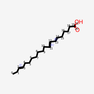 CC/C=C/CCCCCCC/C=C/C=C/CCCCC(=O)O